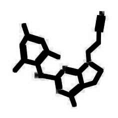 Cc1cc(C)c(Nc2nc(C)c3c(n2)N(CCC#N)CC3)c(C)c1